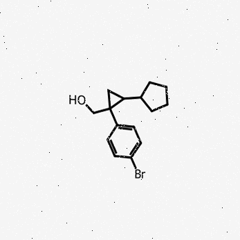 OCC1(c2ccc(Br)cc2)CC1C1CCCC1